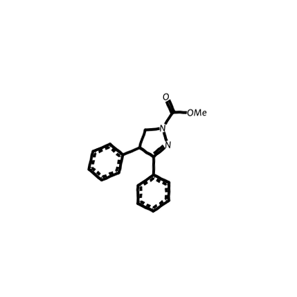 COC(=O)N1CC(c2ccccc2)C(c2ccccc2)=N1